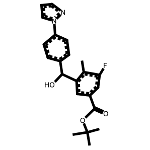 Cc1c(F)cc(C(=O)OC(C)(C)C)cc1C(O)c1ccc(-n2cccn2)cc1